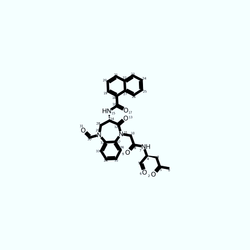 CC(=O)C[C@@H](C=O)NC(=O)CN1C(=O)[C@@H](NC(=O)c2cccc3ccccc23)CN(C=O)c2ccccc21